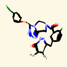 Cc1c(Cc2ccc(F)c(C(=O)N3CCn4c(COc5ccc(F)cc5)nnc4C3)c2)n[nH]c(=O)c1C